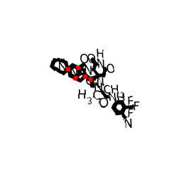 CC(C)(C(=O)Nc1ccc(C#N)c(C(F)(F)F)c1)n1cc(C2CCN(C3CC4CCC(C3)N4c3ccc4c(c3)C(=O)N(C3CCC(=O)NC3=O)C4=O)CC2)cn1